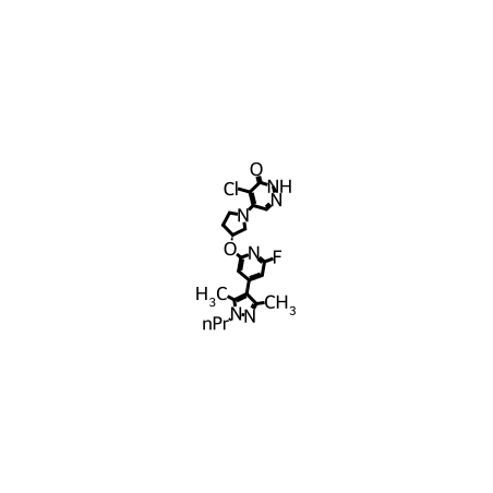 CCCn1nc(C)c(-c2cc(F)nc(O[C@@H]3CCN(c4cn[nH]c(=O)c4Cl)C3)c2)c1C